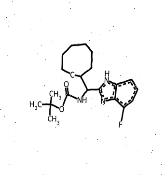 CC(C)(C)OC(=O)NC(c1nc2c(F)cccc2[nH]1)C1CCCCCCC1